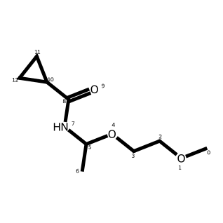 COCCOC(C)NC(=O)C1CC1